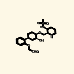 CS(=O)(=O)N[C@H]1CCCN[C@H]1CO[C@@H]1CC[C@H](c2ccccc2OCC=O)C[C@H]1O